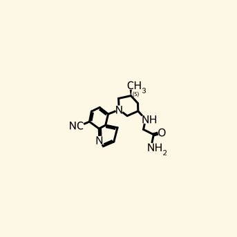 C[C@H]1CC(NCC(N)=O)CN(c2ccc(C#N)c3ncccc23)C1